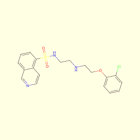 O=S(=O)(NCCNCCOc1ccccc1Cl)c1cccc2cnccc12